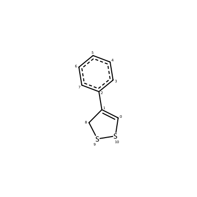 C1=C(c2ccccc2)CSS1